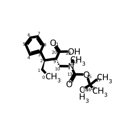 CC[C@@H](c1ccccc1)[C@@H](CN(C)C(=O)OC(C)(C)C)C(=O)O